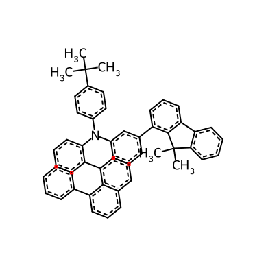 CC(C)(C)c1ccc(N(c2cccc(-c3cccc4c3C(C)(C)c3ccccc3-4)c2)c2ccccc2-c2cccc3cccc(-c4ccccc4)c23)cc1